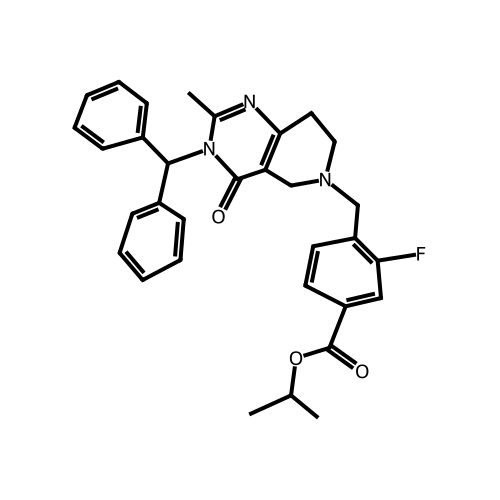 Cc1nc2c(c(=O)n1C(c1ccccc1)c1ccccc1)CN(Cc1ccc(C(=O)OC(C)C)cc1F)CC2